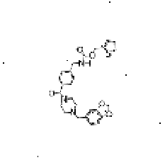 O=C(NCc1ccc(C(=O)N2CCN(Cc3ccc4c(c3)OCO4)CC2)cc1)OCc1cccs1